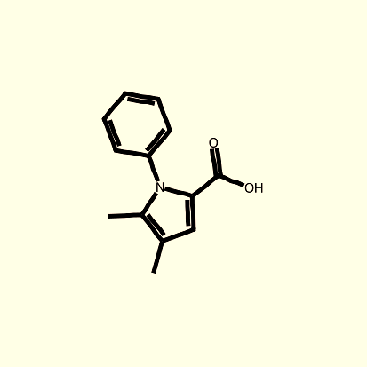 Cc1cc(C(=O)O)n(-c2ccccc2)c1C